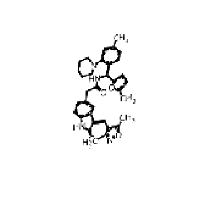 Cc1ccc(C(NC(=O)Cc2ccc3c(c2)/C(=C/c2c(C)noc2C)C(=O)N3)c2ccc(C)o2)c(N2CCCCC2)c1